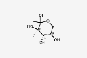 CC1(O)OC[C@@H](O)[C@H](O)[C@@]1(C)O